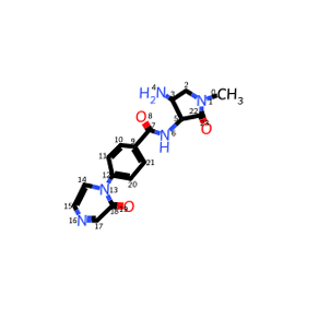 CN1CC(N)C(NC(=O)c2ccc(-n3ccncc3=O)cc2)C1=O